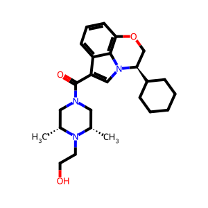 C[C@@H]1CN(C(=O)c2cn3c4c(cccc24)OC[C@H]3C2CCCCC2)C[C@H](C)N1CCO